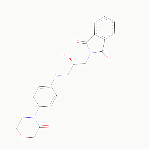 O=C1c2ccccc2C(=O)N1C[C@H](O)CNC1=CCC(N2CCOCC2=O)C=C1